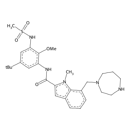 COc1c(NC(=O)c2cc3cccc(CN4CCCNCC4)c3n2C)cc(C(C)(C)C)cc1NS(C)(=O)=O